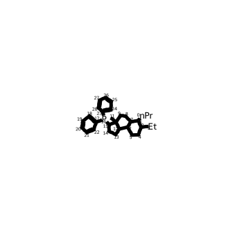 CCCC1C(CC)CCC2C1CCC1(C)C2CCC1P(c1ccccc1)c1ccccc1